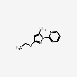 Cc1cc(OCC(F)(F)F)nn1-c1ccccn1